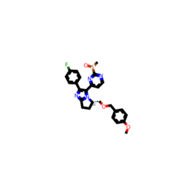 COc1ccc(COC[C@@H]2CCc3nc(-c4ccc(F)cc4)c(-c4ccnc([S+](C)[O-])n4)n32)cc1